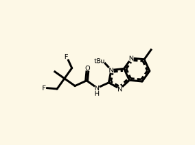 Cc1ccc2nc(NC(=O)CC(C)(CF)CF)n(C(C)(C)C)c2n1